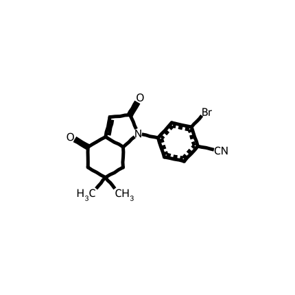 CC1(C)CC(=O)C2=CC(=O)N(c3ccc(C#N)c(Br)c3)C2C1